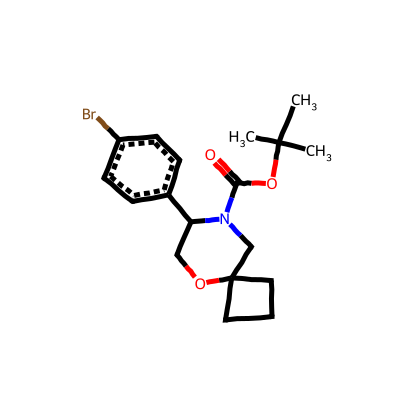 CC(C)(C)OC(=O)N1CC2(CCC2)OCC1c1ccc(Br)cc1